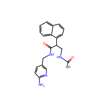 CCCC(=O)NCC(C(=O)NCc1ccc(N)nc1)c1cccc2ccccc12